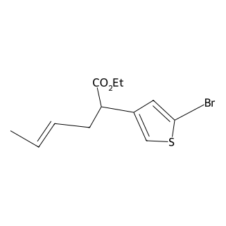 CC=CCC(C(=O)OCC)c1csc(Br)c1